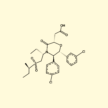 CC[C@@H](CS(=O)(=O)[C@H](C)CC)N1C(=O)[C@H](CC(=O)O)O[C@H](c2cccc(Cl)c2)[C@H]1c1ccc(Cl)cc1